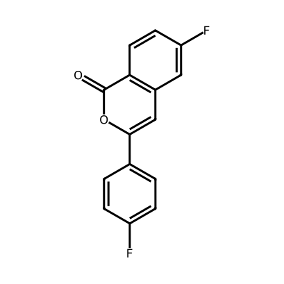 O=c1oc(-c2ccc(F)cc2)cc2cc(F)ccc12